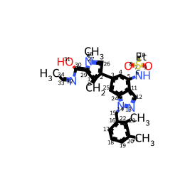 C=c1c(-c2cc(NS(=O)(=O)CC)c3cnn(Cc4cccc(C)c4C)c3c2)cn(C)/c1=C(O)/N=C\C